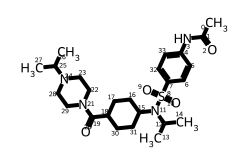 CC(=O)Nc1ccc(S(=O)(=O)N(C(C)C)C2CCC(C(=O)N3CCN(C(C)C)CC3)CC2)cc1